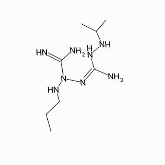 CCCNN(N=C(N)NNC(C)C)C(=N)N